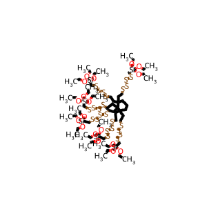 CCO[Si](CSSSSCCC1(CCSSSSC[Si](OCC)(OCC)OCC)CCCC(CCSSSSC[Si](OCC)(OCC)OCC)(CCSSSSC[Si](OCC)(OCC)OCC)C1(CCSSSSC[Si](OCC)(OCC)OCC)CCSSSSC[Si](OCC)(OCC)OCC)(OCC)OCC